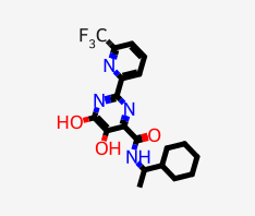 CC(NC(=O)c1nc(-c2cccc(C(F)(F)F)n2)nc(O)c1O)C1CCCCC1